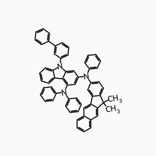 CC1(C)c2ccc(N(c3ccccc3)c3cc(N(c4ccccc4)c4ccccc4)c4c5ccccc5n(-c5cccc(-c6ccccc6)c5)c4c3)cc2-c2cc3ccccc3cc21